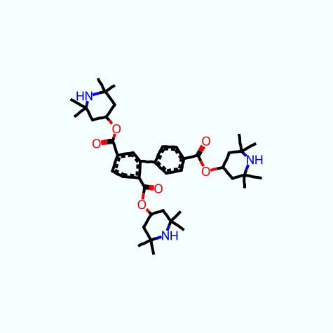 CC1(C)CC(OC(=O)c2ccc(-c3cc(C(=O)OC4CC(C)(C)NC(C)(C)C4)ccc3C(=O)OC3CC(C)(C)NC(C)(C)C3)cc2)CC(C)(C)N1